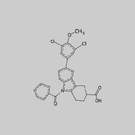 COc1c(Cl)cc(-c2ccc3c(c2)c2c(n3C(=O)c3ccccc3)CCC(C(=O)O)C2)cc1Cl